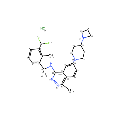 Cc1c(C(F)F)cccc1[C@@H](C)Nc1nnc(C)c2ccc(N3CCC(N4CCC4)CC3)cc12.Cl